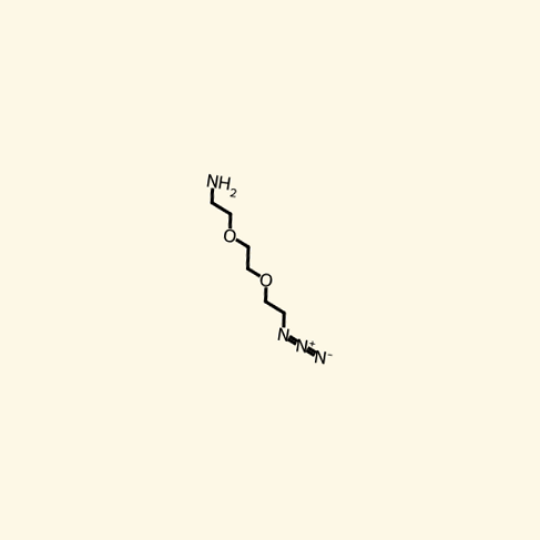 [N-]=[N+]=NCCOCCOCCN